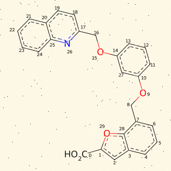 O=C(O)c1cc2cccc(COc3cccc(OCc4ccc5ccccc5n4)c3)c2o1